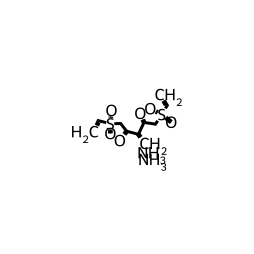 C=CS(=O)(=O)CC(=O)C(=C)C(=O)CS(=O)(=O)C=C.N.N